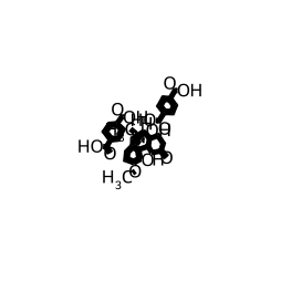 COc1ccc2c3c1O[C@H]1C(=O)CC[C@@]4(O)[C@@H](C2)N(C)CC[C@]314.O=C(O)c1ccc(C(=O)O)cc1.O=C(O)c1ccc(C(=O)O)cc1